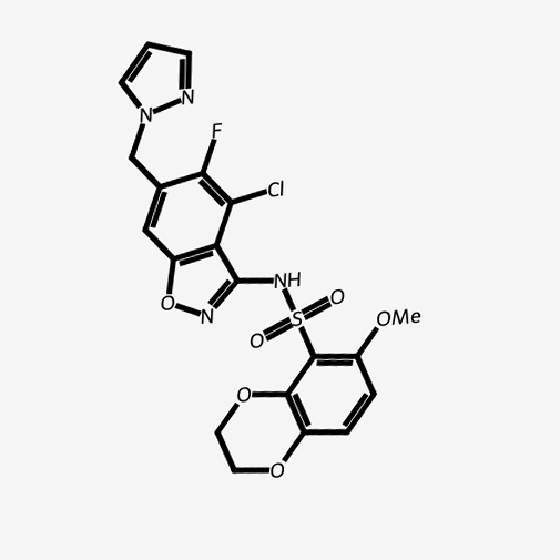 COc1ccc2c(c1S(=O)(=O)Nc1noc3cc(Cn4cccn4)c(F)c(Cl)c13)OCCO2